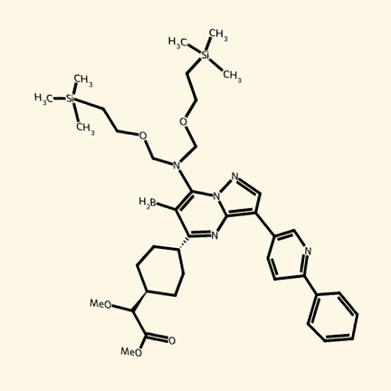 Bc1c(N(COCC[Si](C)(C)C)COCC[Si](C)(C)C)n2ncc(-c3ccc(-c4ccccc4)nc3)c2nc1[C@H]1CC[C@H](C(OC)C(=O)OC)CC1